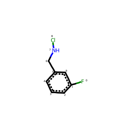 Fc1cccc(CNCl)c1